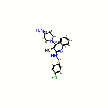 N#Cc1c(NCc2ccc(Cl)cc2)nc2ccccc2c1N1CCC(N)CC1